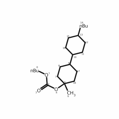 CCCCOC(=O)OC1(C)CCC(C2CCC(CCCC)CC2)CC1